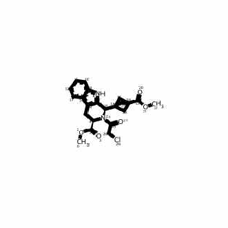 COC(=O)[C@H]1Cc2c([nH]c3ccccc23)[C@@H](C23CC(C(=O)OC)(C2)C3)N1C(=O)CCl